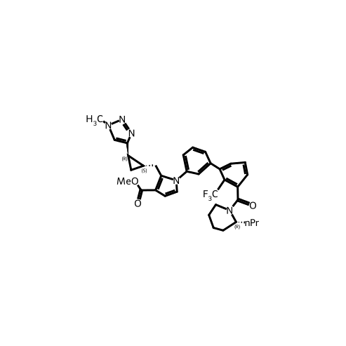 CCC[C@@H]1CCCCN1C(=O)c1cccc(-c2cccc(-n3ccc(C(=O)OC)c3C[C@@H]3C[C@H]3c3cn(C)nn3)c2)c1C(F)(F)F